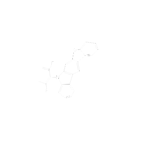 C=C(F)/C(=C(\C)F)n1c2ccccc2c2cc3c(cc21)sc1ccccc13